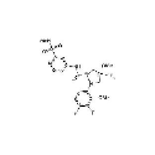 CNS(=O)(=O)c1cc(NC(=O)[C@@H]2C[C@@](OC)(C(F)(F)F)CN2c2ccc(F)c(F)c2OC)ccn1